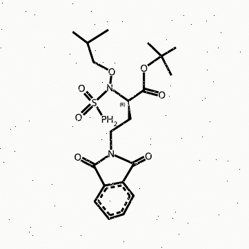 CC(C)CON([C@H](CCN1C(=O)c2ccccc2C1=O)C(=O)OC(C)(C)C)S(=O)(=O)P